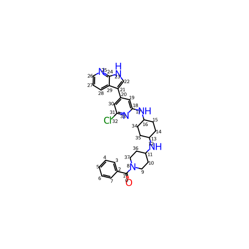 O=C(c1ccccc1)N1CCC(NC2CCC(Nc3cc(-c4c[nH]c5ncccc45)cc(Cl)n3)CC2)CC1